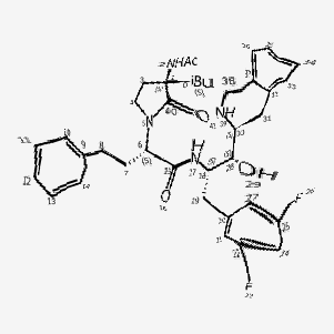 CC[C@H](C)[C@@]1(NC(C)=O)CCN([C@@H](CCc2ccccc2)C(=O)N[C@@H](Cc2cc(F)cc(F)c2)[C@@H](O)[C@@H]2Cc3ccccc3CN2)C1=O